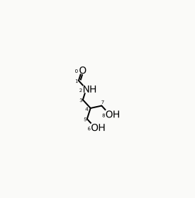 O=CNCC(CO)CO